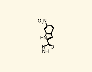 N=NC(=O)c1cc2ccc([N+](=O)[O-])cc2[nH]1